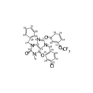 Cn1c(=O)c2c(nc(OC3C=C(OC(F)(F)F)C=CC3)n2Cc2ccc(Cl)cc2)n(Cc2ccccc2)c1=O